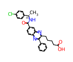 C[C@H](NC(=O)c1ccc2nc(-c3ccccc3)c(CCCCC(=O)O)nc2c1)c1ccc(Cl)cc1